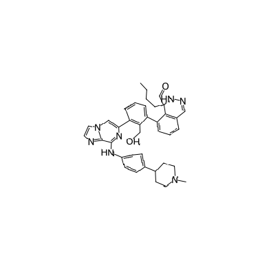 CCCCC1(C=O)NN=Cc2cccc(-c3cccc(-c4cn5ccnc5c(Nc5ccc(C6CCN(C)CC6)cc5)n4)c3CO)c21